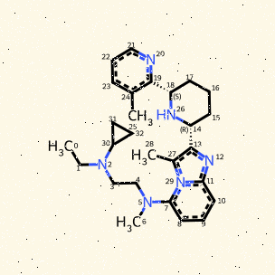 CCN(CCN(C)c1cccc2nc([C@H]3CCC[C@@H](c4ncccc4C)N3)c(C)n12)C1CC1